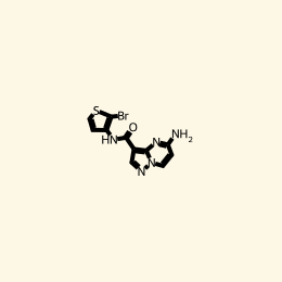 Nc1ccn2ncc(C(=O)Nc3ccsc3Br)c2n1